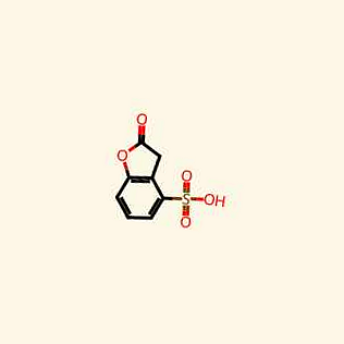 O=C1Cc2c(cccc2S(=O)(=O)O)O1